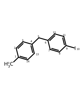 Cc1ccc(Cc2ccc(I)cc2)cc1